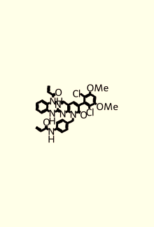 C=CC(=O)Nc1ccc(Cn2c(=O)c(-c3c(Cl)c(OC)cc(OC)c3Cl)cc3cnc(Nc4ccccc4NC(=O)C=C)nc32)cc1